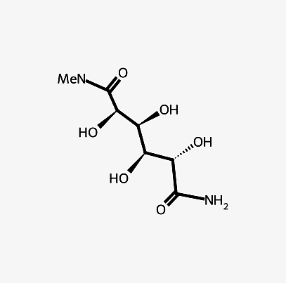 CNC(=O)[C@H](O)[C@@H](O)[C@H](O)[C@H](O)C(N)=O